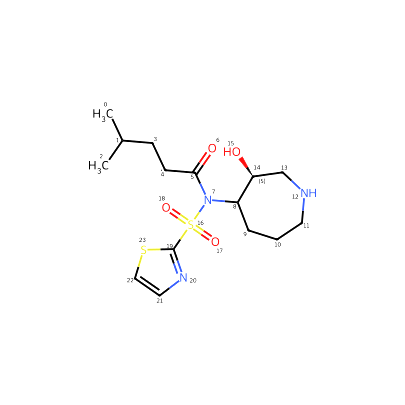 CC(C)C[CH]C(=O)N(C1CCCNC[C@@H]1O)S(=O)(=O)c1nccs1